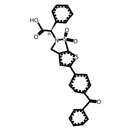 O=C(c1ccccc1)c1ccc(-c2cc3c(s2)S(=O)(=O)N([C@@H](C(=O)O)c2ccccc2)C3)cc1